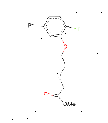 COC(=O)CCCCOc1cc(C(C)C)ccc1F